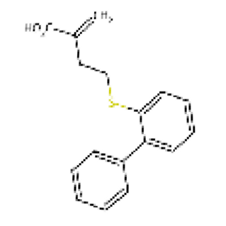 C=C(CCSc1ccccc1-c1ccccc1)C(=O)O